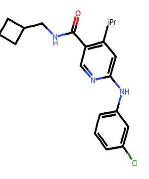 CC(C)c1cc(Nc2cccc(Cl)c2)ncc1C(=O)NCC1CCC1